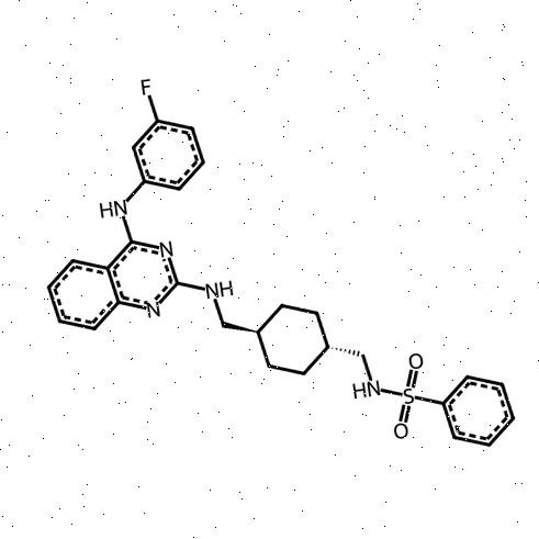 O=S(=O)(NC[C@H]1CC[C@H](CNc2nc(Nc3cccc(F)c3)c3ccccc3n2)CC1)c1ccccc1